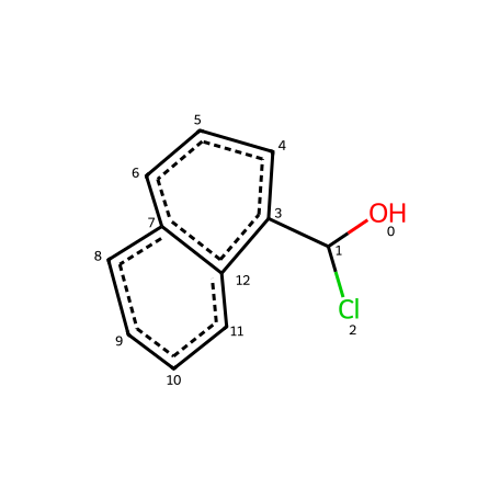 OC(Cl)c1cccc2ccccc12